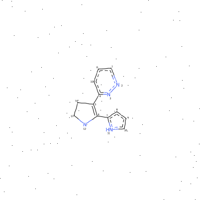 c1cnnc(C2=C(c3ccc[nH]3)[N]CC2)c1